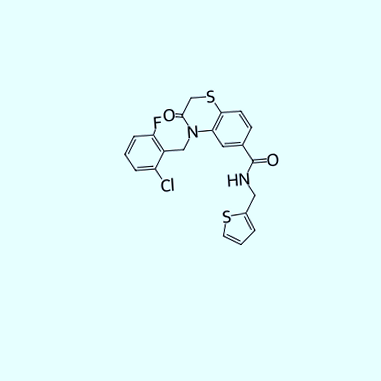 O=C(NCc1cccs1)c1ccc2c(c1)N(Cc1c(F)cccc1Cl)C(=O)CS2